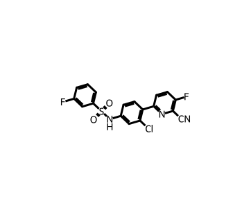 N#Cc1nc(-c2ccc(NS(=O)(=O)c3cccc(F)c3)cc2Cl)ccc1F